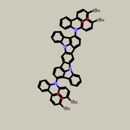 CC(C)(C)c1ccc(-c2ccccc2N(c2ccc(C(C)(C)C)cc2)c2ccc3c4cc5c(cc4n4c6ccccc6c2c34)c2ccc(N(c3ccc(C(C)(C)C)cc3)c3ccccc3-c3ccc(C(C)(C)C)cc3)c3c4ccccc4n5c23)cc1